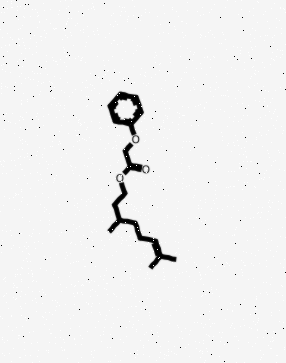 CC(C)=CCCC(C)CCOC(=O)COc1ccccc1